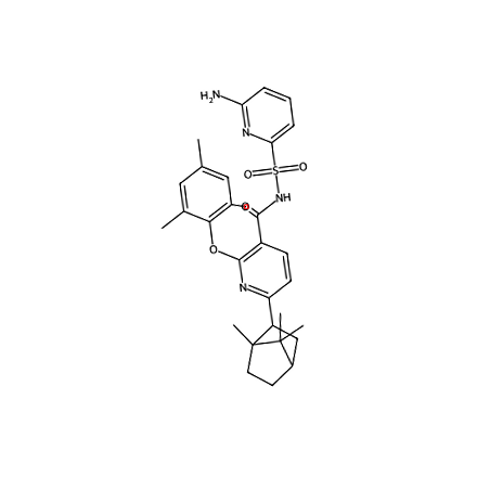 Cc1cc(C)c(Oc2nc(C3CC4CCC3(C)C4(C)C)ccc2C(=O)NS(=O)(=O)c2cccc(N)n2)c(C)c1